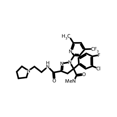 CNC(=O)C1(c2ccc(F)c(Cl)c2)CC(C(=O)NCCN2CCCC2)=NN1c1cc(C(F)(F)F)cc(C)n1